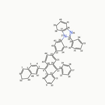 C1=Cc2ccc(-c3c4ccccc4c(-c4ccccc4)c4cc(-c5ccc(-n6c(-c7ccccc7)nc7c6CCC=C7)cc5)ccc34)cc2CC1